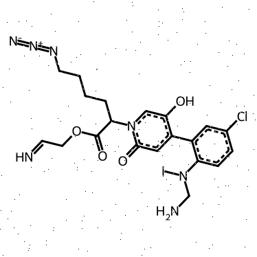 [N-]=[N+]=NCCCCC(C(=O)OCC=N)n1cc(O)c(-c2cc(Cl)ccc2N(I)CN)cc1=O